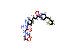 O=C(CN1CCOCC1)Nc1ccc(C=CC(=O)N2CC=C(Cc3cccs3)CC2)cn1